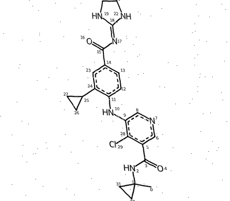 CC1(NC(=O)c2cncc(Nc3ccc(C(=O)N=C4NCCN4)cc3C3CC3)c2Cl)CC1